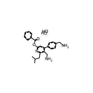 CC(C)Cc1nc(OC(=O)c2ccccc2)cc(-c2ccc(CN)cc2)c1CN.Cl.Cl